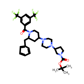 CC(C)(C)OC(=O)N1CCC(N2CCN(C3CCN(C(=O)c4cc(C(F)(F)F)cc(C(F)(F)F)c4)C(Cc4ccccc4)C3)CC2)C1